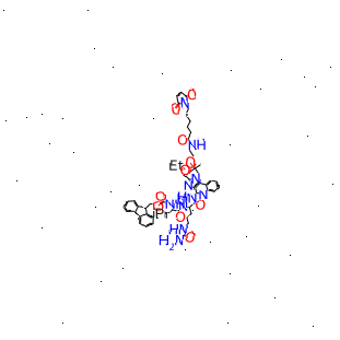 CCOCc1nc2c(NC(=O)C(CCCNC(N)=O)NC(=O)C(NC(=O)OCC3c4ccccc4-c4ccccc43)C(C)C)nc3ccccc3c2n1CC(C)(C)OCCNC(=O)CCCCCN1C(=O)C=CC1=O